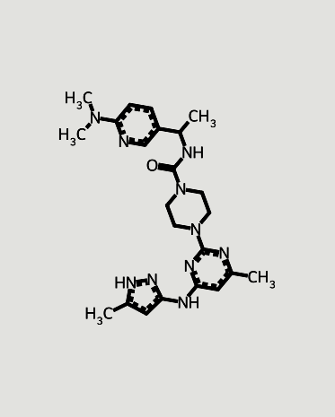 Cc1cc(Nc2cc(C)[nH]n2)nc(N2CCN(C(=O)NC(C)c3ccc(N(C)C)nc3)CC2)n1